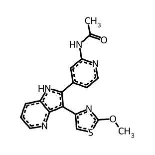 COc1nc(-c2c(-c3ccnc(NC(C)=O)c3)[nH]c3cccnc23)cs1